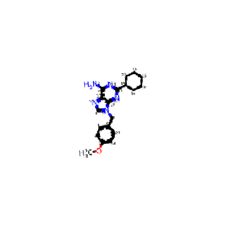 COc1ccc(Cn2cnc3c(N)nc(C4CCCCC4)nc32)cc1